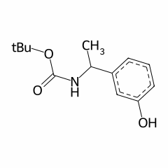 CC(NC(=O)OC(C)(C)C)c1cccc(O)c1